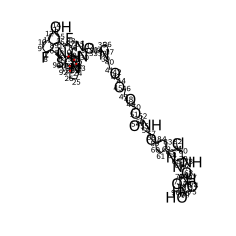 CC(C)[Si](C#Cc1c(F)ccc2cc(O)cc(-c3ncc4c(N5CC6CCC(C5)N6)nc(OC[C@@H]5CCCN5CCCOCCOCCOCCOCC(=O)NCCOc5ccc(-c6nc7nc(O[C@@H]8CO[C@H]9[C@@H]8OC[C@H]9O)[nH]c7cc6Cl)cc5)nc4c3F)c12)(C(C)C)C(C)C